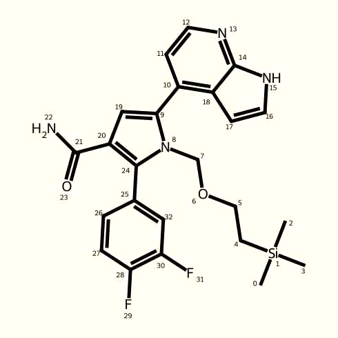 C[Si](C)(C)CCOCn1c(-c2ccnc3[nH]ccc23)cc(C(N)=O)c1-c1ccc(F)c(F)c1